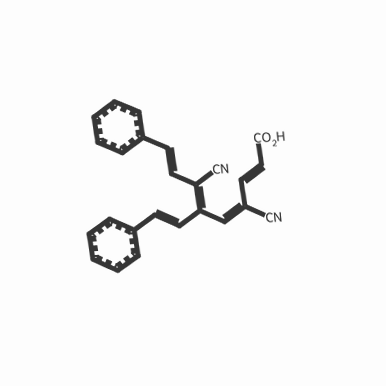 N#CC(C=CC(=O)O)=CC(C=Cc1ccccc1)=C(C#N)C=Cc1ccccc1